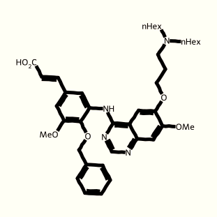 CCCCCCN(CCCCCC)CCCOc1cc2c(Nc3cc(/C=C/C(=O)O)cc(OC)c3OCc3ccccc3)ncnc2cc1OC